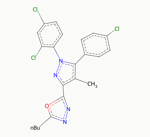 CCCCc1nnc(-c2nn(-c3ccc(Cl)cc3Cl)c(-c3ccc(Cl)cc3)c2C)o1